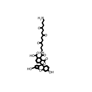 NCCCC(=O)CCC(=O)CCC(=O)CCCNC(=O)c1c(C(=O)O)ccc2c1C(=O)OC21c2ccc(O)cc2Oc2cc(O)ccc21